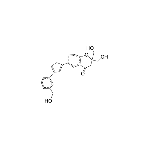 O=C1CC(CO)(CO)Oc2ccc(C3=CC(c4cccc(CO)c4)=CC3)cc21